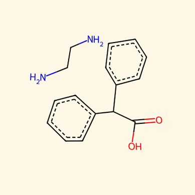 NCCN.O=C(O)C(c1ccccc1)c1ccccc1